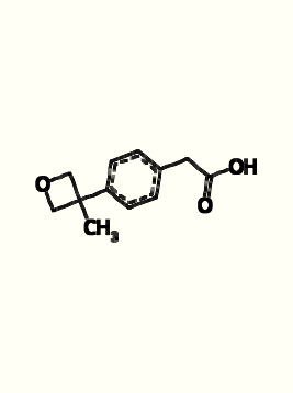 CC1(c2ccc(CC(=O)O)cc2)COC1